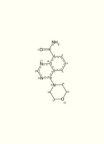 NC(=O)c1cccc2c(N3CCOCC3)ncnc12